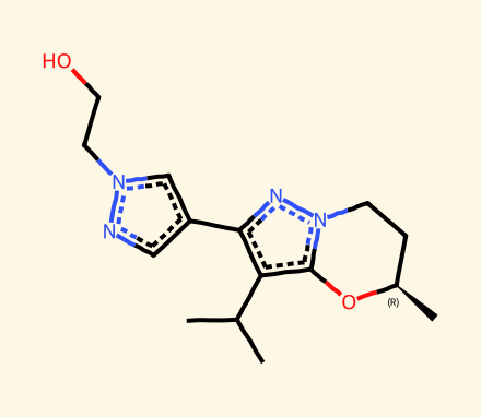 CC(C)c1c(-c2cnn(CCO)c2)nn2c1O[C@H](C)CC2